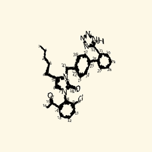 CCCCCc1cn(-c2c(Cl)cccc2C(C)=O)c(=O)n1Cc1ccc(-c2ccccc2-c2nnn[nH]2)cc1